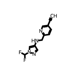 C#Cc1ccc(CNc2cnn(C(F)F)c2)nc1